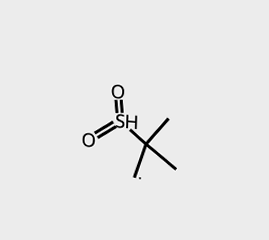 [CH2]C(C)(C)[SH](=O)=O